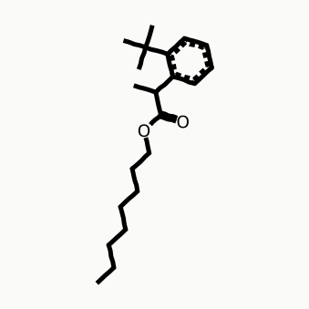 CCCCCCCCOC(=O)C(C)c1ccccc1C(C)(C)C